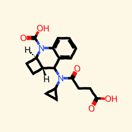 O=C(O)CCC(=O)N(C1CC1)C1c2ccccc2N(C(=O)O)[C@@H]2CC[C@@H]12